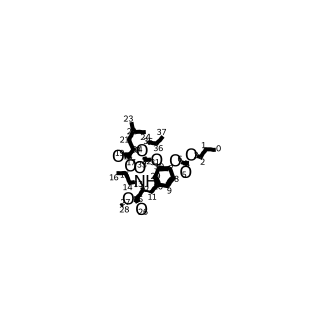 CCCOC(=O)Oc1ccc(C[C@H](NCC(C)OC(=O)CCC(C)C)C(=O)OC)cc1OC(=O)OCCC